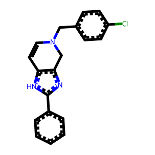 Clc1ccc(CN2C=Cc3[nH]c(-c4ccccc4)nc3C2)cc1